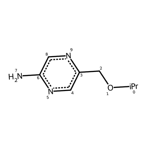 CC(C)OCc1cnc(N)cn1